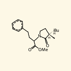 CC[C@@H](C)[C@@]1(C)CCN(C(CCc2ccccc2)C(=O)OC)C1=O